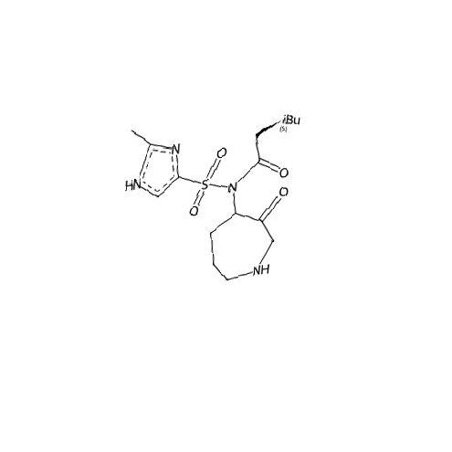 [CH2]C[C@H](C)CC(=O)N(C1CCCNCC1=O)S(=O)(=O)c1c[nH]c(C)n1